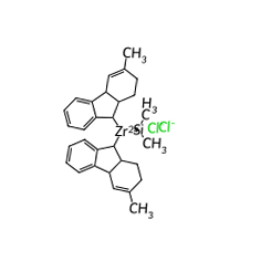 CC1=CC2c3ccccc3[CH]([Zr+2]([CH]3c4ccccc4C4C=C(C)CCC43)=[Si](C)C)C2CC1.[Cl-].[Cl-]